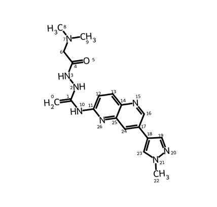 C=C(NNC(=O)CN(C)C)Nc1ccc2ncc(-c3cnn(C)c3)cc2n1